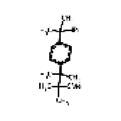 CSC(C)(C)C(C)(C)c1ccc(C(C)(C)C(C)C)cc1